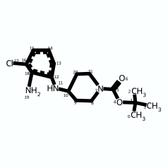 CC(C)(C)OC(=O)N1CCC(Nc2cccc(Cl)c2N)CC1